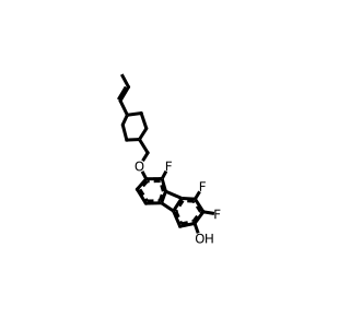 C/C=C/C1CCC(COc2ccc3c(c2F)-c2c-3cc(O)c(F)c2F)CC1